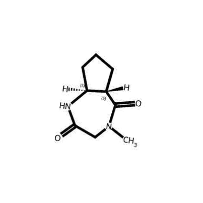 CN1CC(=O)N[C@H]2CCC[C@@H]2C1=O